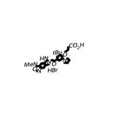 Br.CNC(=O)c1cc2c(cc1N(C)C)CN(CC(=O)c1cc(N3CCCC3)c(OCCCC(=O)O)c(C(C)(C)C)c1)C2=N